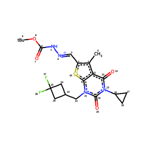 Cc1c(/C=N/NC(=O)OC(C)(C)C)sc2c1c(=O)n(C1CC1)c(=O)n2CC1CC(F)(F)C1